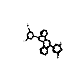 Fc1cc(F)cc(-c2cc3c4ccccc4c(-c4cc(F)cc(F)c4)cc3c3ccccc23)c1